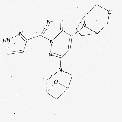 c1cc(-c2ncc3c(N4C5CCC4COC5)cc(N4CC5CC(C4)O5)nn23)n[nH]1